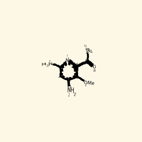 COc1c(N)cc(N)nc1C(=O)C(C)(C)C